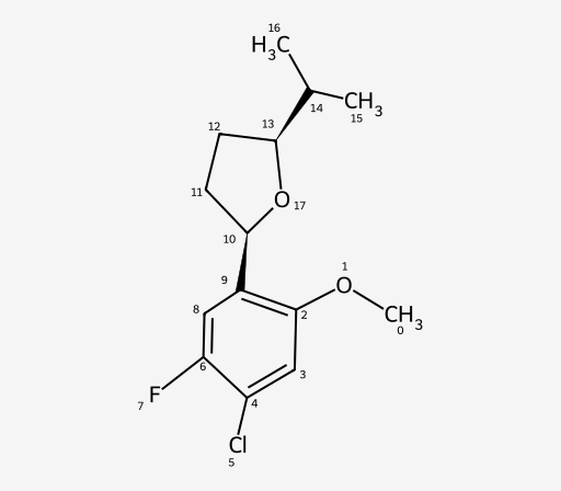 COc1cc(Cl)c(F)cc1[C@H]1CC[C@@H](C(C)C)O1